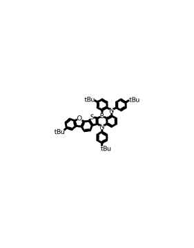 CC(C)(C)c1ccc(N2c3ccc(C(C)(C)C)cc3B3c4sc5c(ccc6c7cc(C(C)(C)C)ccc7oc65)c4N(c4ccc(C(C)(C)C)cc4)c4cccc2c43)cc1